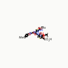 C=C[C@@]1(C(=O)OCC=C(C)C)[C@@H](C#CC(=O)O)CS[C@@H]2[C@H](CNC(=O)/C(=N\OC/C=N/OCc3ccc(OC)cc3)c3csc(NC(=O)OC(C)(C)C)n3)C(O)N21